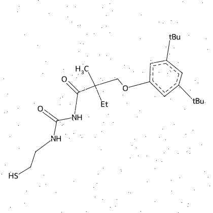 CCC(C)(COc1cc(C(C)(C)C)cc(C(C)(C)C)c1)C(=O)NC(=O)NCCS